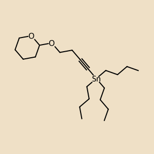 CCC[CH2][Sn]([C]#CCCOC1CCCCO1)([CH2]CCC)[CH2]CCC